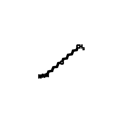 CCCCCCCOCCCCCN=[N+]=[N-]